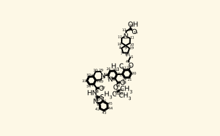 Cc1c(OCC[C@@H]2CCC3(CCN(CC(=O)O)CC3)C2)cccc1-c1ccc(N2CCc3cccc(C(=O)Nc4nc5ccccc5s4)c3C2)nc1C(=O)OC(C)(C)C